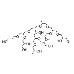 COCC(O)COCC(COCC(C)OCC(COCC(COCCCO)OCC(O)CO)OCC(COCC(C)O)OCCCO)OCC(CO)OC